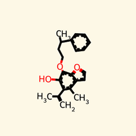 C=C(C)c1c(O)c(OCCC(C)c2ccccc2)c2occc2c1C